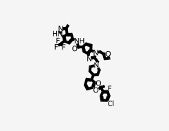 Cc1n[nH]c2c(C(F)(F)F)cc(NC(=O)c3ccc4c(c3)nc(CN3CCC(c5cccc6c5OC(C)(c5ccc(Cl)cc5F)O6)CC3)n4CC3CCO3)cc12